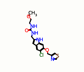 COCCNC(=O)NCc1cc2cc(Cl)c(OCc3cscn3)cc2[nH]1